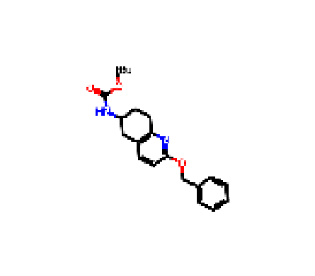 CC(C)(C)OC(=O)NC1CCc2nc(OCc3ccccc3)ccc2C1